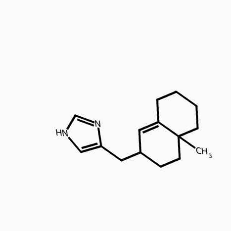 CC12CCCCC1=CC(Cc1c[nH]cn1)CC2